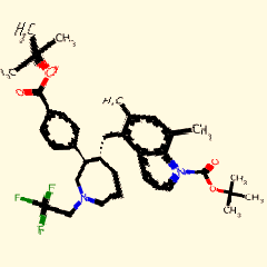 Cc1cc(C)c2c(ccn2C(=O)OC(C)(C)C)c1C[C@@H]1CCCN(CC(F)(F)F)C[C@H]1c1ccc(C(=O)OC(C)(C)C)cc1